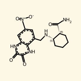 NC(=O)[C@@H]1CCCC[C@@H]1NCc1cc([N+](=O)[O-])cc2[nH]c(=O)c(=O)[nH]c12